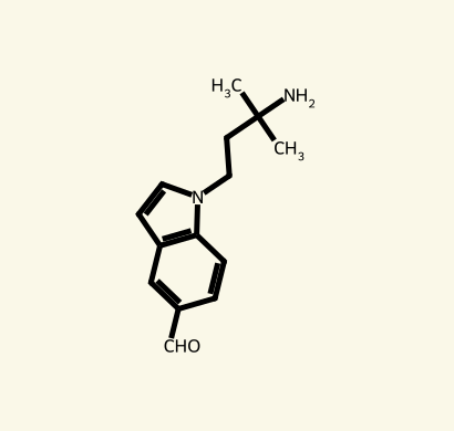 CC(C)(N)CCn1ccc2cc(C=O)ccc21